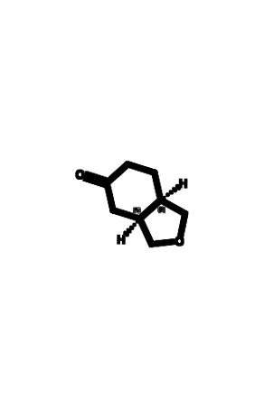 O=C1CC[C@H]2COC[C@H]2C1